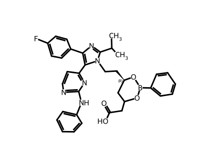 CC(C)c1nc(-c2ccc(F)cc2)c(-c2ccnc(Nc3ccccc3)n2)n1CC[C@@H]1CC(CC(=O)O)OB(c2ccccc2)O1